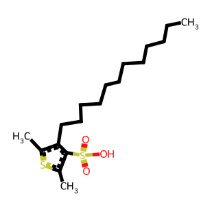 CCCCCCCCCCCCc1c(C)sc(C)c1S(=O)(=O)O